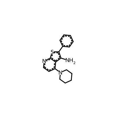 Nc1c(-c2ccccc2)sc2nccc(N3CCCCC3)c12